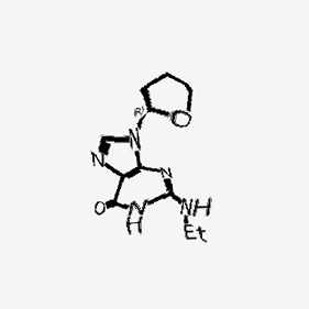 CCNc1nc2c(ncn2[C@H]2CCCO2)c(=O)[nH]1